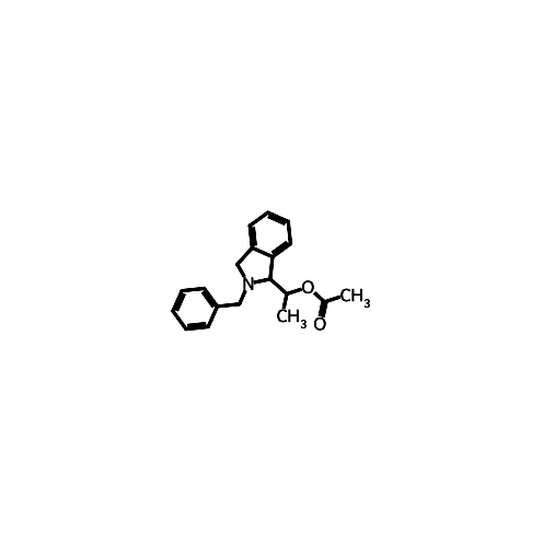 CC(=O)OC(C)C1c2ccccc2CN1Cc1ccccc1